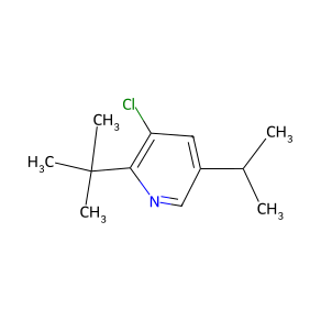 CC(C)c1cnc(C(C)(C)C)c(Cl)c1